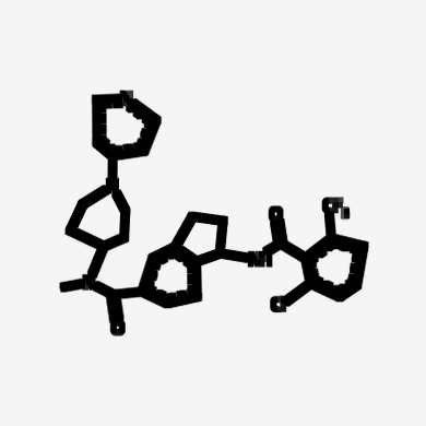 CN(C(=O)c1ccc2c(c1)CCC2NC(=O)c1c(Cl)cccc1C(F)(F)F)C1CCN(c2ccncc2)CC1